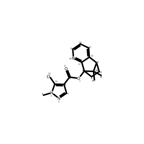 Cn1ncc(C(=O)OC23CCC(c4cccnc42)C3(C)C)c1Cl